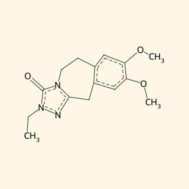 CCn1nc2n(c1=O)CCc1cc(OC)c(OC)cc1C2